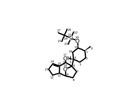 C[C@H]1CC[C@](C)(C23CCC(O2)C2CCC=C2C3O)C[C@H]1O[Si](C)(C)C(C)(C)C